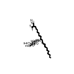 CCCCCCCCCCCCCCCCCCCC(CN)C(F)F.N.O=P(O)(O)O.O=P(O)(O)O